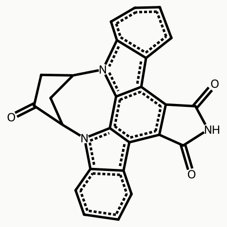 O=C1NC(=O)c2c1c1c3ccccc3n3c1c1c2c2ccccc2n1C1CC3CC1=O